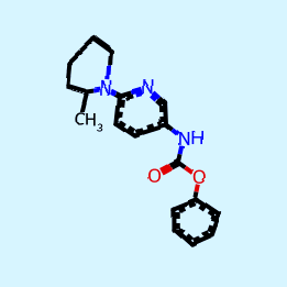 CC1CCCCN1c1ccc(NC(=O)Oc2ccccc2)cn1